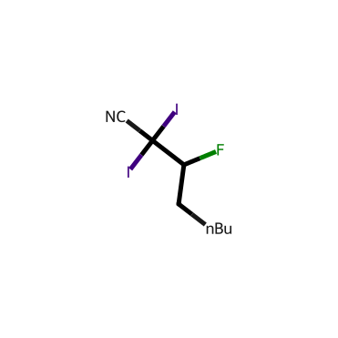 CCCCCC(F)C(I)(I)C#N